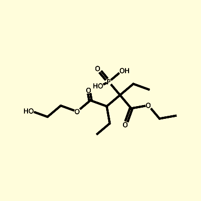 CCOC(=O)C(CC)(C(CC)C(=O)OCCO)P(=O)(O)O